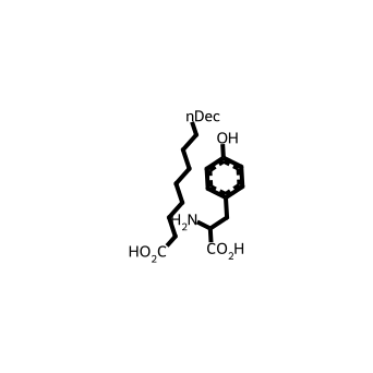 CCCCCCCCCCCCCCCCCC(=O)O.NC(Cc1ccc(O)cc1)C(=O)O